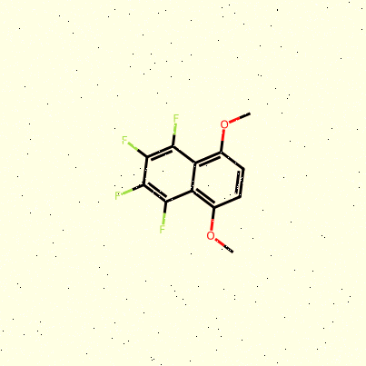 COc1ccc(OC)c2c(F)c(F)c(F)c(F)c12